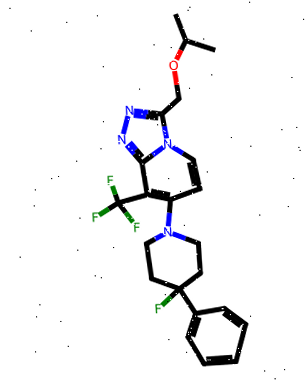 CC(C)OCc1nnc2c(C(F)(F)F)c(N3CCC(F)(c4ccccc4)CC3)ccn12